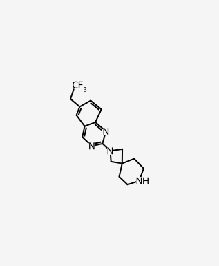 FC(F)(F)Cc1ccc2nc(N3CC4(CCNCC4)C3)ncc2c1